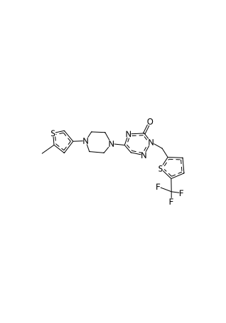 Cc1cc(N2CCN(c3cnn(Cc4ccc(C(F)(F)F)s4)c(=O)n3)CC2)cs1